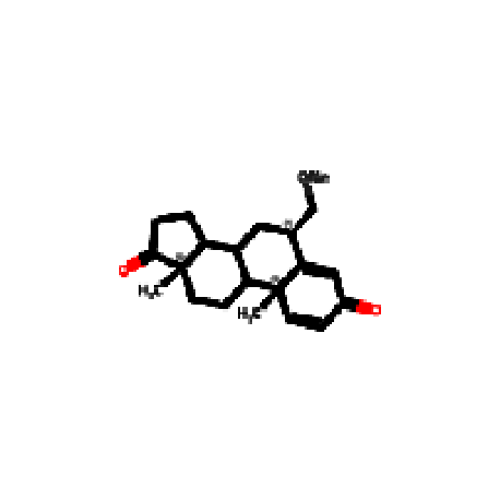 COC[C@@H]1CC2C(CC[C@]3(C)C(=O)CCC23)[C@@]2(C)C=CC(=O)C=C12